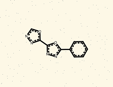 c1ccc(-c2nnc(-c3nnco3)o2)cc1